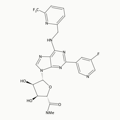 CNC(=O)[C@H]1O[C@@H](n2cnc3c(NCc4cccc(C(F)(F)F)n4)nc(-c4cncc(F)c4)nc32)[C@H](O)[C@@H]1O